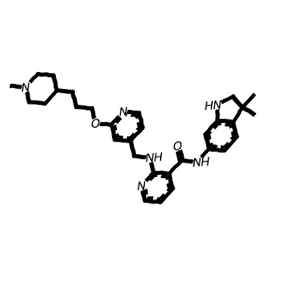 CN1CCC(CCCOc2cc(CNc3ncccc3C(=O)Nc3ccc4c(c3)NCC4(C)C)ccn2)CC1